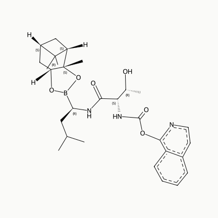 CC(C)C[C@H](NC(=O)[C@@H](NC(=O)Oc1nccc2ccccc12)[C@@H](C)O)B1O[C@@H]2C[C@@H]3C[C@@H](C3(C)C)[C@]2(C)O1